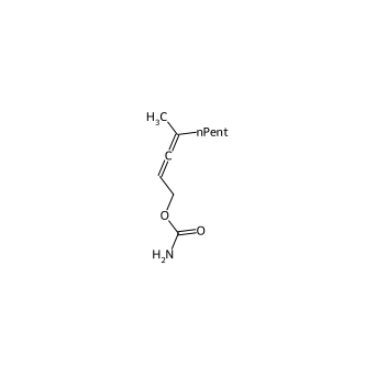 CCCCCC(C)=C=CCOC(N)=O